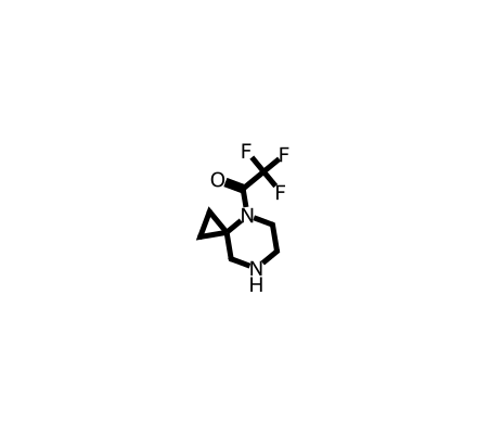 O=C(N1CCNCC12CC2)C(F)(F)F